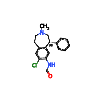 CN1CCc2cc(Cl)c(NC=O)cc2[C@@H](c2ccccc2)C1